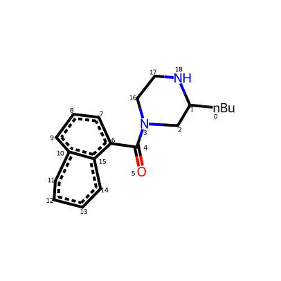 CCCCC1CN(C(=O)c2cccc3ccccc23)CCN1